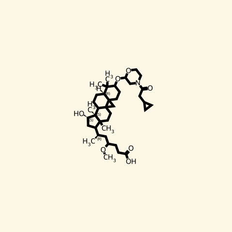 COC(CCC(=O)O)C[C@@H](C)C1C[C@H](O)[C@@]2(C)C3CC[C@H]4C(C)(C)C(OC5CN(C(=O)CC6CC6)CCO5)CCC45CC35CCC12C